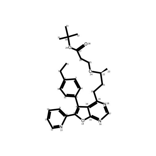 CCc1ccc(-c2c(-c3ccccn3)oc3ncnc(CC[C@H](C)OCCC(=O)OC(C)(C)C)c23)cc1